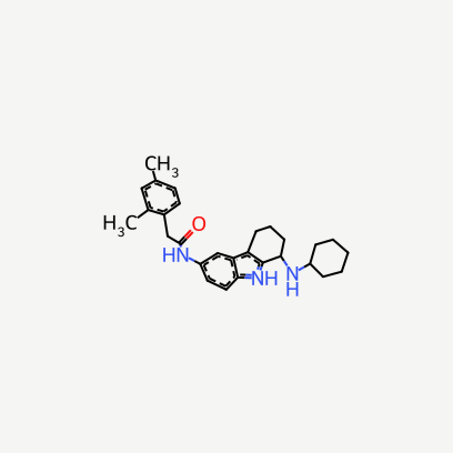 Cc1ccc(CC(=O)Nc2ccc3[nH]c4c(c3c2)CCCC4NC2CCCCC2)c(C)c1